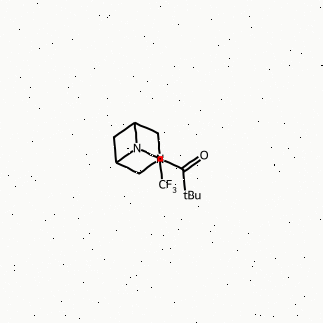 CC(C)(C)C(=O)N1CC2CC(C1)N2CC(F)(F)F